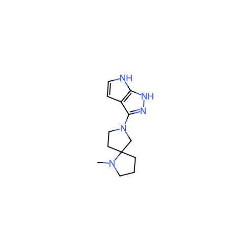 CN1CCCC12CCN(c1n[nH]c3[nH]ccc13)C2